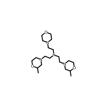 CC1CN(CCN(CCN2CCOCC2)CCN2CCOC(C)C2)CCO1